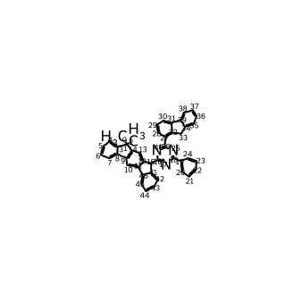 CC1(C)c2ccccc2-c2cc3c(cc21)C(c1nc(-c2ccccc2)nc(-c2cccc4c2Cc2ccccc2-4)n1)c1ccccc1-3